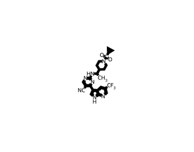 CC(Nc1ncc(C#N)c(-c2c[nH]c3ncc(C(F)(F)F)cc23)n1)C1CCN(S(=O)(=O)C2CC2)CC1